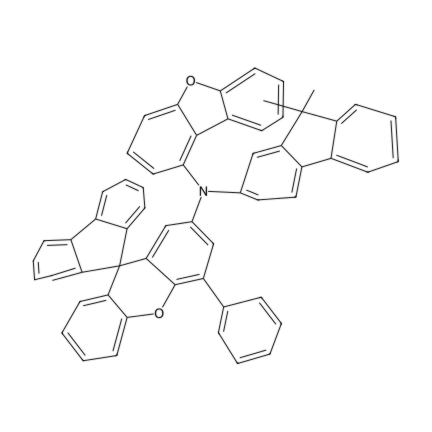 CC1(C)c2ccccc2-c2ccc(N(c3cc(-c4ccccc4)c4c(c3)C3(c5ccccc5O4)c4ccccc4-c4ccccc43)c3cccc4oc5ccccc5c34)cc21